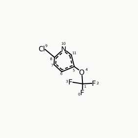 FC(F)(F)Oc1ccc(Cl)nc1